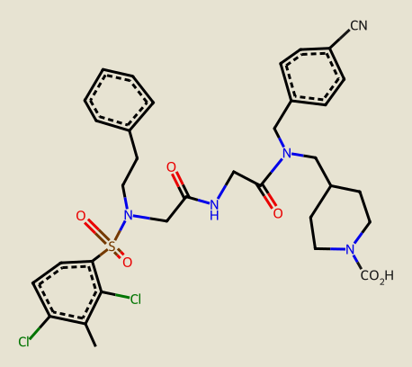 Cc1c(Cl)ccc(S(=O)(=O)N(CCc2ccccc2)CC(=O)NCC(=O)N(Cc2ccc(C#N)cc2)CC2CCN(C(=O)O)CC2)c1Cl